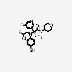 C[C@@](C(=O)NC1CCOCC1)(c1cncc(F)c1)N(C[C@H](F)Cl)c1ccc(S)cc1